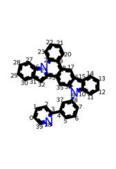 c1ccc(-c2cccc(-n3c4ccccc4c4cc5c6ccccc6n6c7ccccc7cc6c5cc43)c2)nc1